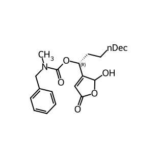 CCCCCCCCCCCC[C@@H](OC(=O)N(C)Cc1ccccc1)C1=CC(=O)OC1O